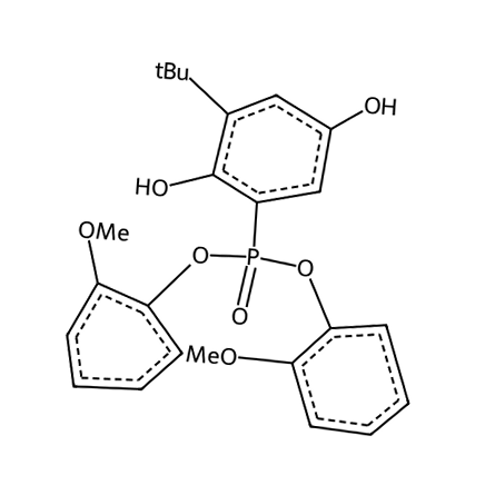 COc1ccccc1OP(=O)(Oc1ccccc1OC)c1cc(O)cc(C(C)(C)C)c1O